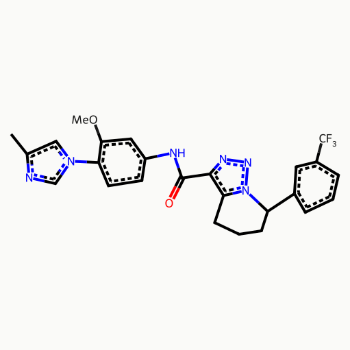 COc1cc(NC(=O)c2nnn3c2CCCC3c2cccc(C(F)(F)F)c2)ccc1-n1cnc(C)c1